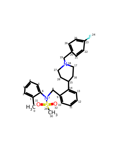 Cc1ccccc1N(Cc1ccccc1C1CCN(Cc2ccc(F)cc2)CC1)S(C)(=O)=O